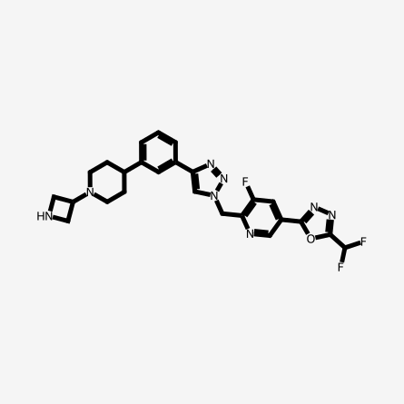 Fc1cc(-c2nnc(C(F)F)o2)cnc1Cn1cc(-c2cccc(C3CCN(C4CNC4)CC3)c2)nn1